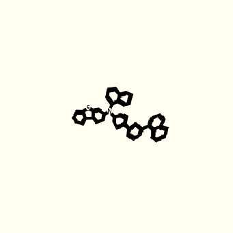 c1cc(-c2ccc(N(c3ccc4c(c3)sc3ccccc34)c3cccc4ccccc34)cc2)cc(-c2cccc3ccccc23)c1